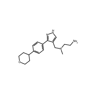 CN(CCN)Cc1c[nH]nc1-c1ccc(C2CCOCC2)cc1